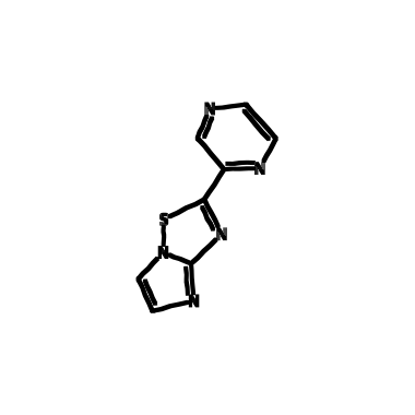 c1cnc(-c2nc3nccn3s2)cn1